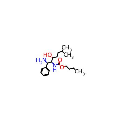 CCCCOC(=O)NC(C(O)CCC(C)C)C(N)c1ccccc1